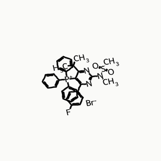 CC(C)c1nc(N(C)S(C)(=O)=O)nc(-c2ccc(F)cc2)c1[P+](c1ccccc1)(c1ccccc1)c1ccccc1.[Br-]